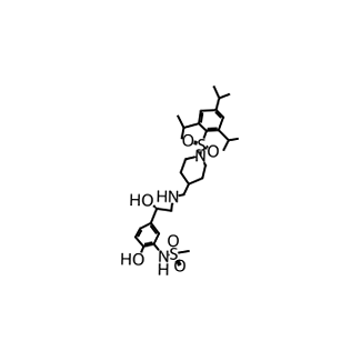 CC(C)c1cc(C(C)C)c(S(=O)(=O)N2CCC(CNC[C@H](O)c3ccc(O)c(NS(C)(=O)=O)c3)CC2)c(C(C)C)c1